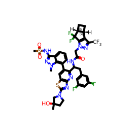 Cn1nc(NS(C)(=O)=O)c2cccc(-c3cc4sc(N5CCC(C)(O)C5)nc4nc3C(Cc3cc(F)cc(F)c3)NC(=O)Cn3nc(C(F)(F)F)c4c3C(F)(F)[C@@H]3CC[C@H]43)c21